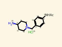 CC(=O)Nc1ccc(CN2CCC(N)CC2)cc1.Cl